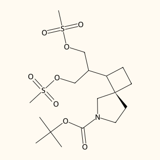 CC(C)(C)OC(=O)N1CC[C@@]2(CCC2C(COS(C)(=O)=O)COS(C)(=O)=O)C1